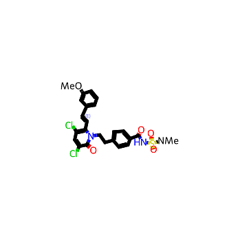 CNS(=O)(=O)NC(=O)c1ccc(CCn2c(/C=C/c3cccc(OC)c3)c(Cl)cc(Cl)c2=O)cc1